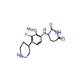 COc1c(NC2CCC(=O)NC2=O)ccc(C2CCNCC2)c1F